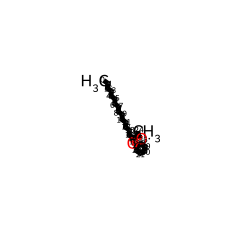 CCCCCCCCCCCCCCCC(Oc1ccccc1)C(C)[O]